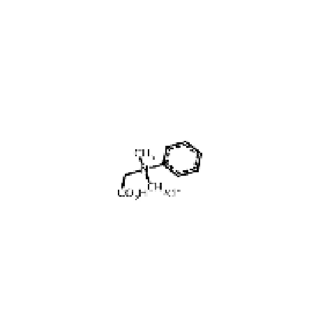 C[N+](C)(CC(=O)O)c1ccccc1.[Cl-]